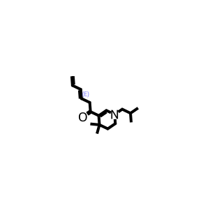 C=C/C=C/CC(=O)C1=CN(CC(C)C)CCC1(C)C